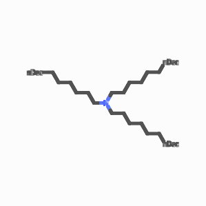 CCCCCCCCCCCCCCCCN(CCCCCCCCCCCCCCCC)CCCCCCCCCCCCCCCC